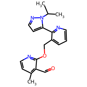 Cc1ccnc(OCc2cccnc2-c2ccnn2C(C)C)c1C=O